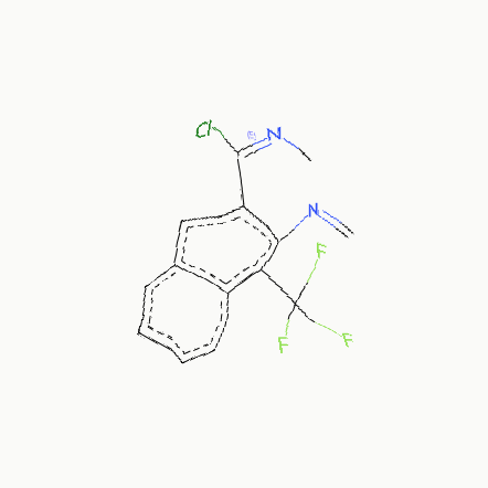 C=Nc1c(/C(Cl)=N\C)cc2ccccc2c1C(F)(F)F